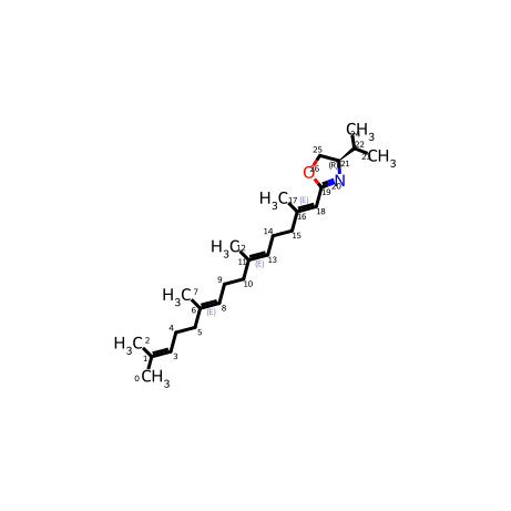 CC(C)=CCC/C(C)=C/CC/C(C)=C/CC/C(C)=C/C1=N[C@H](C(C)C)CO1